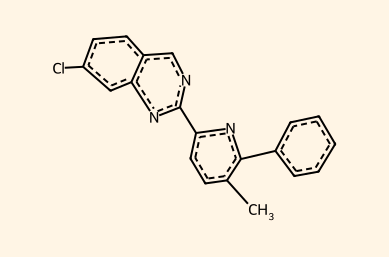 Cc1ccc(-c2ncc3ccc(Cl)cc3n2)nc1-c1ccccc1